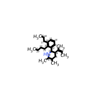 C/C=C(/C)C1CC(C)C(C)NC1c1cccc(CCC)c1CCCC